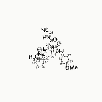 COc1ccc(CN2C[C@]3(CC[C@](c4ccccc4)(N(C)C)CC3)N(CC(=O)NCC#N)C2=O)cc1